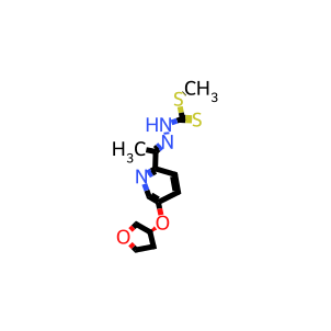 CSC(=S)N/N=C(\C)c1ccc(O[C@H]2CCOC2)cn1